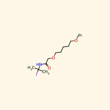 CC(C)OCCCCCOCC(=O)NC(C)(C)I